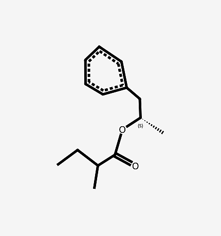 CCC(C)C(=O)O[C@@H](C)Cc1ccccc1